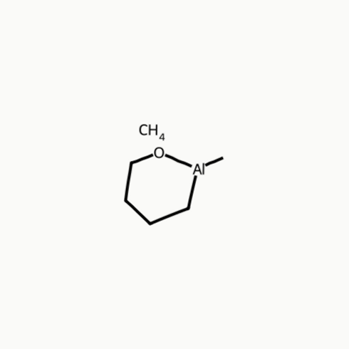 C.[CH3][Al]1[CH2]CCC[O]1